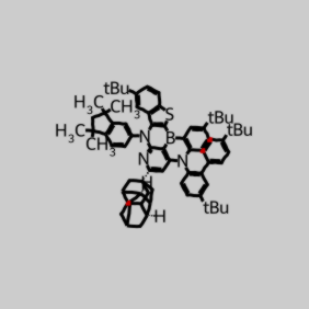 CC(C)(C)c1ccc(-c2cc(C(C)(C)C)ccc2N2c3ccc(C(C)(C)C)cc3B3c4sc5ccc(C(C)(C)C)cc5c4N(c4ccc5c(c4)C(C)(C)CC5(C)C)c4nc([C@]56CC7C8CC9C[C@@H]7C(C5)[C@@H](C9)C8C6)cc2c43)cc1